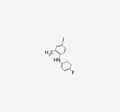 Cc1cc(I)ccc1NC1=CC=C(F)C[CH]1